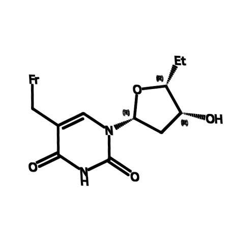 CC[C@H]1O[C@@H](n2cc([CH2][Fr])c(=O)[nH]c2=O)C[C@H]1O